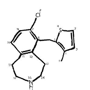 Cc1ccsc1-c1c(Cl)ccc2c1CCNCC2